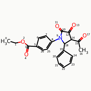 CCOC(=O)c1ccc(N2C(=O)C(=O)C(C(C)=O)C2c2ccccc2)cc1